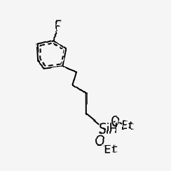 CCO[SiH](CCCCc1cccc(F)c1)OCC